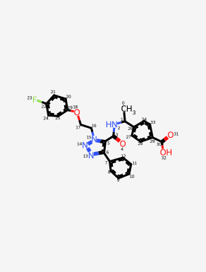 CC(NC(=O)c1c(-c2ccccc2)nnn1CCOc1ccc(F)cc1)c1ccc(C(=O)O)cc1